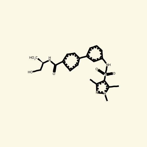 Cc1nn(C)c(C)c1S(=O)(=O)Nc1cccc(-c2ccc(C(=O)N[C@@H](CO)C(=O)O)cc2)c1